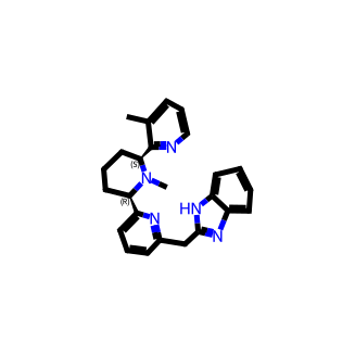 Cc1cccnc1[C@@H]1CCC[C@H](c2cccc(Cc3nc4ccccc4[nH]3)n2)N1C